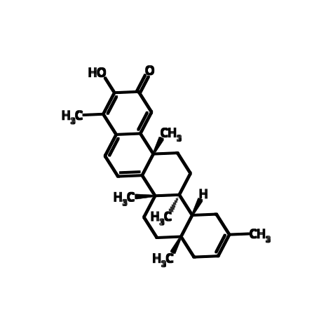 CC1=CC[C@]2(C)CC[C@]3(C)C4=CC=C5C(=CC(=O)C(O)=C5C)[C@]4(C)CC[C@@]3(C)[C@@H]2C1